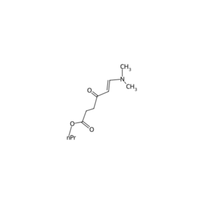 CCCOC(=O)CCC(=O)C=CN(C)C